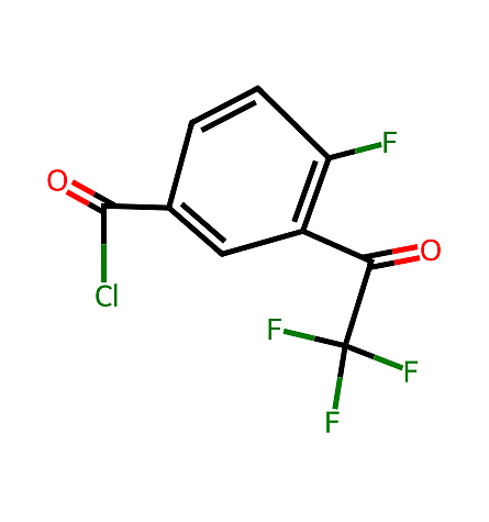 O=C(Cl)c1ccc(F)c(C(=O)C(F)(F)F)c1